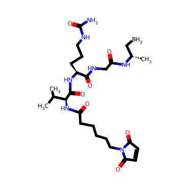 BC[C@H](C)NC(=O)CNC(=O)[C@H](CCCNC(N)=O)NC(=O)[C@@H](NC(=O)CCCCCN1C(=O)C=CC1=O)C(C)C